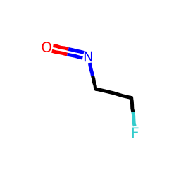 O=NCCF